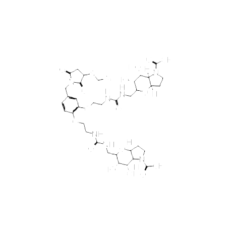 CC(=O)CSC1CC(=O)N(Cc2ccc(OCCNC(=O)NCC3O[C@H]4CCN(C(=O)C(F)(F)F)[C@H]4[C@@H](O)[C@H]3O)c(OCCNC(=O)NCC3O[C@H]4CCN(C(=O)C(F)(F)F)[C@H]4[C@@H](O)[C@H]3O)c2)C1=O